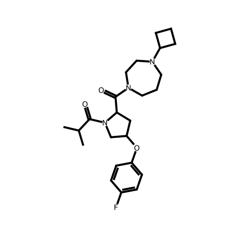 CC(C)C(=O)N1CC(Oc2ccc(F)cc2)CC1C(=O)N1CCCN(C2CCC2)CC1